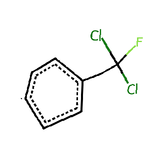 FC(Cl)(Cl)c1cc[c]cc1